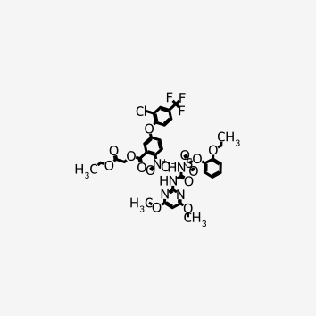 CCOC(=O)COC(=O)c1cc(Oc2ccc(C(F)(F)F)cc2Cl)ccc1[N+](=O)[O-].CCOc1ccccc1OS(=O)(=O)NC(=O)Nc1nc(OC)cc(OC)n1